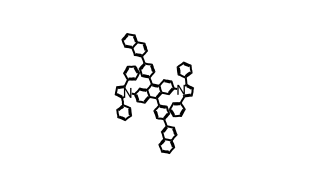 c1ccc(-c2ccc(-c3ccccc3)n2-c2ccc3c(-c4ccc(-c5ccc6ccccc6c5)cc4)c4cc(-n5c(-c6ccccc6)ccc5-c5ccccc5)ccc4c(-c4ccc(-c5ccc6ccccc6c5)cc4)c3c2)cc1